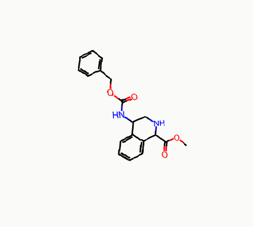 COC(=O)C1NCC(NC(=O)OCc2ccccc2)c2ccccc21